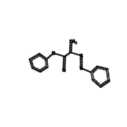 C=C(N=Nc1ccccc1)C(=O)Oc1ccccc1